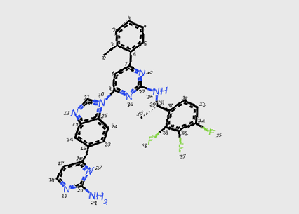 Cc1ccccc1-c1cc(-n2cnc3cc(-c4ccnc(N)n4)ccc32)nc(N[C@@H](C)c2ccc(F)c(F)c2F)n1